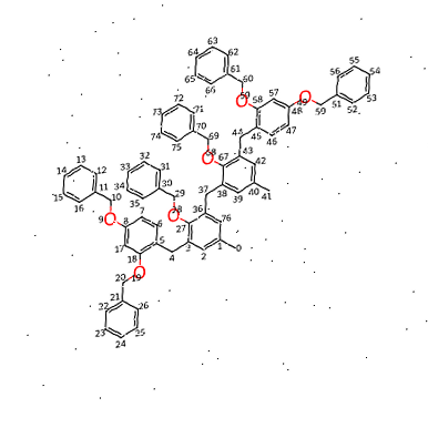 Cc1cc(Cc2ccc(OCc3ccccc3)cc2OCc2ccccc2)c(OCc2ccccc2)c(Cc2cc(C)cc(Cc3ccc(OCc4ccccc4)cc3OCc3ccccc3)c2OCc2ccccc2)c1